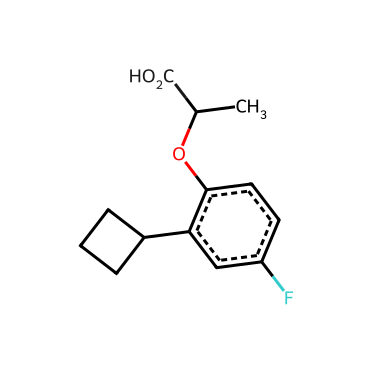 CC(Oc1ccc(F)cc1C1CCC1)C(=O)O